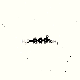 CC#Cc1ccc(-c2ccc(-c3ccc(CCC)c(F)c3)cc2)nc1